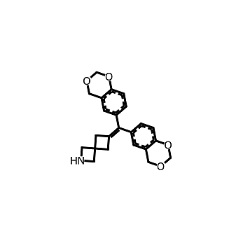 c1cc2c(cc1C(=C1CC3(CNC3)C1)c1ccc3c(c1)COCO3)COCO2